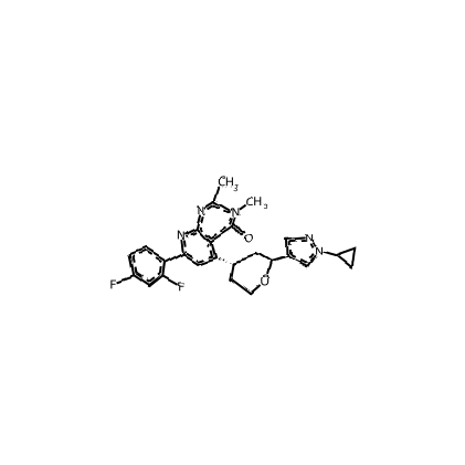 Cc1nc2nc(-c3ccc(F)cc3F)cc([C@H]3CCOC(c4cnn(C5CC5)c4)C3)c2c(=O)n1C